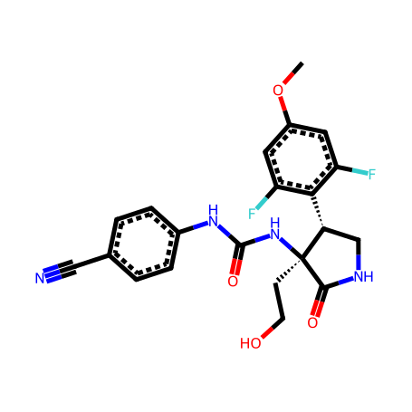 COc1cc(F)c([C@@H]2CNC(=O)[C@@]2(CCO)NC(=O)Nc2ccc(C#N)cc2)c(F)c1